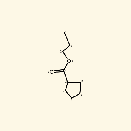 CC[CH]OC(=O)C1CCCC1